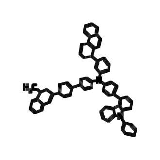 CC1CC(c2ccc(-c3ccc(N(c4ccc(-c5cccc6c5c5ccccc5n6-c5ccccc5)cc4)c4cccc(C5CC=Cc6c5ccc5ccccc65)c4)cc3)cc2)=Cc2ccccc21